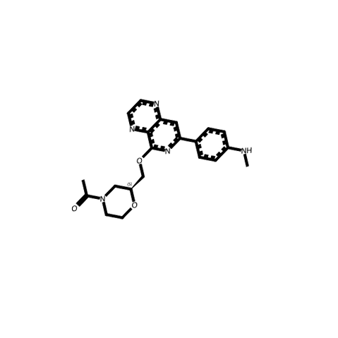 CNc1ccc(-c2cc3nccnc3c(OC[C@@H]3CN(C(C)=O)CCO3)n2)cc1